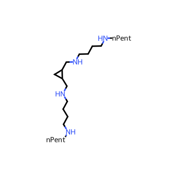 CCCCCNCCCCNCC1CC1CNCCCCNCCCCC